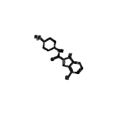 CC1CCC(NC(=O)c2cc3c(Cl)cccc3[nH]2)CC1